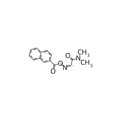 CN(C)C(=O)/[C]=N\OC(=O)c1ccc2ccccc2c1